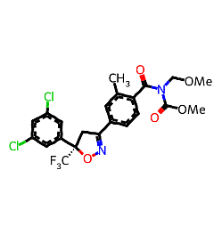 COCN(C(=O)OC)C(=O)c1ccc(C2=NO[C@](c3cc(Cl)cc(Cl)c3)(C(F)(F)F)C2)cc1C